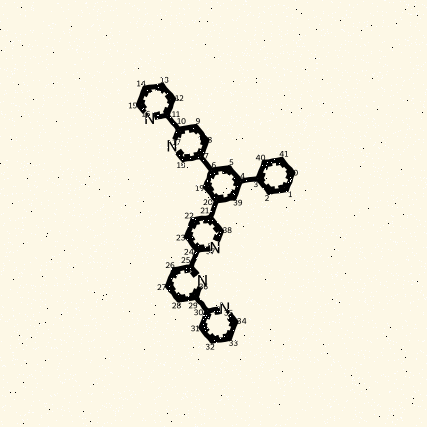 c1ccc(-c2cc(-c3ccc(-c4ccccn4)nc3)cc(-c3ccc(-c4cccc(-c5ccccn5)n4)nc3)c2)cc1